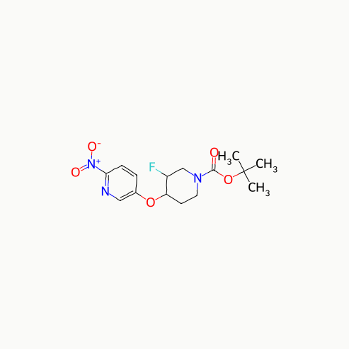 CC(C)(C)OC(=O)N1CCC(Oc2ccc([N+](=O)[O-])nc2)C(F)C1